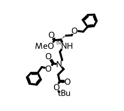 COC(=O)[C@H](CCOCc1ccccc1)NCCN(CCC(=O)OC(C)(C)C)C(=O)OCc1ccccc1